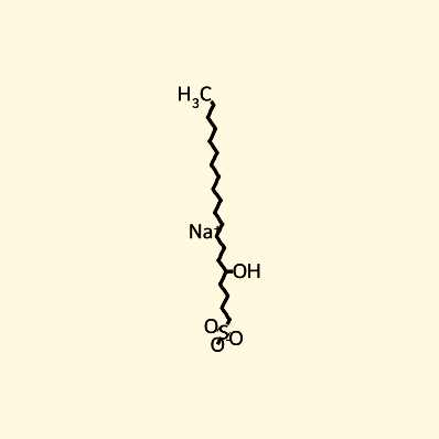 CCCCCCCCCCCCCCCC(O)CCCCS(=O)(=O)[O-].[Na+]